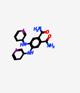 NC(=O)c1cc(NC2C=IC=CC2)c(NC2C=IC=CC2)cc1C(N)=O